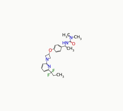 CCC(F)(F)c1cccc(N2CC(Oc3ccc([C@H](C)NC(=O)N(C)C)cc3)C2)n1